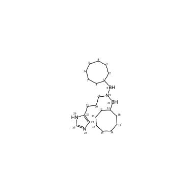 B(C1CCCCCCC1)N(BC1CCCCCCC1)CCCc1cnc[nH]1